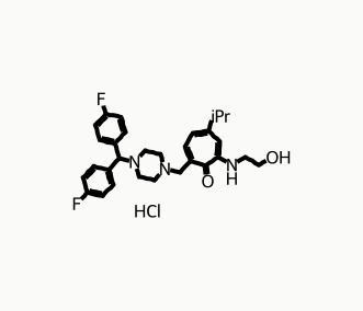 CC(C)c1ccc(CN2CCN(C(c3ccc(F)cc3)c3ccc(F)cc3)CC2)c(=O)c(NCCO)c1.Cl